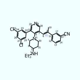 CCNC1CCN(c2c(/C=C(\C)c3cccc(C#N)c3)cncc2-c2cc(Cl)cc(Cl)c2)CC1